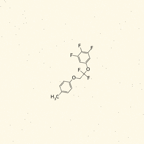 Cc1ccc(OCC(F)(F)Oc2cc(F)c(F)c(F)c2)cc1